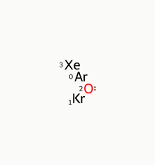 [Ar].[Kr].[O].[Xe]